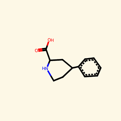 O=C(O)C1CC(c2ccccc2)CCN1